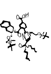 CCCCN(CCCC)C(=O)c1cn(CCO[Si](C)(C)C(C)(C)C)c(-c2ccc(C(=O)O)cc2C(=O)N2Cc3ccccc3C[C@H]2CO[Si](C)(C)C(C)(C)C)n1